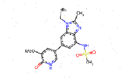 COc1cc(-c2cc(NS(C)(=O)=O)c3nc(C)n(CC(C)(C)C)c3c2)c[nH]c1=O